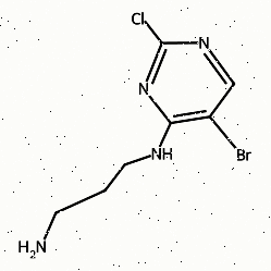 NCCCNc1nc(Cl)ncc1Br